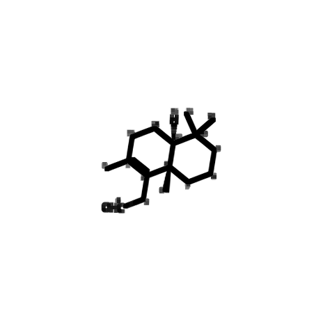 CC1=C(CC=O)[C@@]2(C)CCCC(C)(C)[C@@H]2CC1